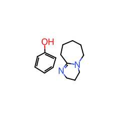 C1CCC2=NCCCN2CC1.Oc1ccccc1